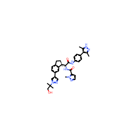 Cc1n[nH]c(C)c1-c1ccc(NC(=O)[C@@H](NC(=O)c2ccnn2C)[C@@H]2CCc3ccc(-c4cnn(C(C)(C)CO)c4)cc32)cc1